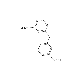 CCCCCCCCc1cccc(Cc2cccc(CCCCCCCC)c2)c1